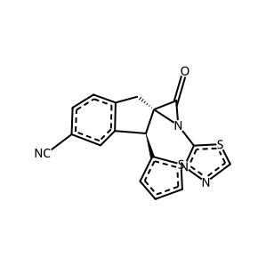 N#Cc1ccc2c(c1)[C@H](c1cccs1)[C@@]1(C2)C(=O)N1c1nncs1